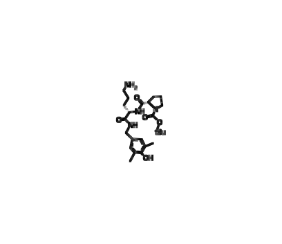 Cc1cc(CNC(=O)[C@H](CCCN)NC(=O)[C@@H]2CCCN2C(=O)OC(C)(C)C)cc(C)c1O